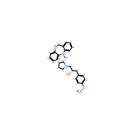 COc1ccc(C[C@H](O)CN2CCC[C@@H]2CN2c3ccccc3COc3ccccc32)cc1